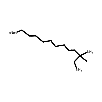 CCCCCCCCCCCCCCCCCCC(C)(N)CN